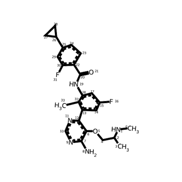 CNC(C)COc1c(N)ncnc1-c1cc(F)cc(NC(=O)c2ccc(C3CC3)cc2F)c1C